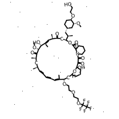 CO[C@@H]1C[C@H](C[C@@H](C)[C@@H]2CC(=O)[C@H](C)/C=C(\C)[C@@H](O)[C@@H](OC)C(=O)[C@H](C)C[C@H](C)/C=C/C=C/C=C(\C)[C@@H](OCCOCCOC(F)(F)C(F)(F)F)C[C@@H]3CC[C@@H](C)[C@@](O)(O3)C(=O)C(=O)N3CCCC[C@H]3C(=O)O2)CC[C@H]1OCCO